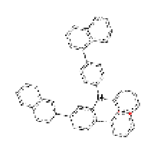 c1ccc(-c2ccc(-c3ccc4ccccc4c3)cc2N(c2ccccc2)c2ccc(-c3cccc4ccccc34)cc2)cc1